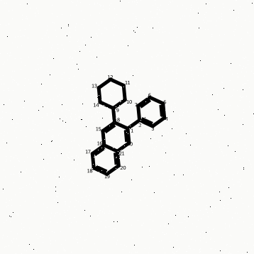 [c]1c(-c2ccccc2)c(C2CCCCC2)cc2ccccc12